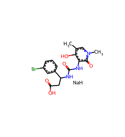 Cc1cn(C)c(=O)c(NC(=O)NC(CC(=O)O)c2cccc(Br)c2)c1O.[NaH]